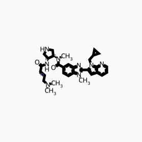 CN(C)C/C=C/C(=O)N[C@@H]1CNC[C@H]1N(C)C(=O)c1ccc2c(c1)nc(-c1cc3cccnc3n1CC1CC1)n2C